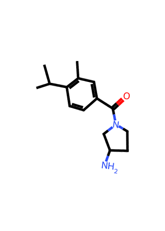 Cc1cc(C(=O)N2CCC(N)C2)ccc1C(C)C